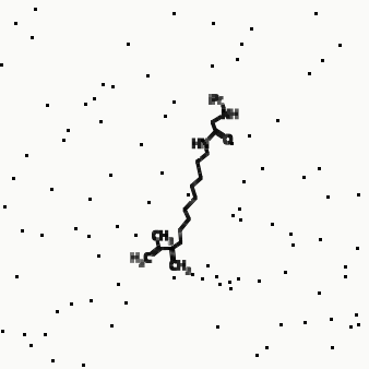 C=C(C)C(=C)CCCCCCCCCNC(=O)CNC(C)C